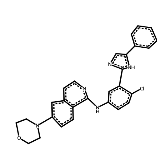 Clc1ccc(Nc2nccc3cc(N4CCOCC4)ccc23)cc1-c1ncc(-c2ccccc2)[nH]1